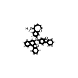 C=C1/C=C\CCOc2cc(N(c3ccc4c5c(oc4c3)CCC=C5)c3cc4ccccc4c4c5c(oc34)CCC=C5)ccc21